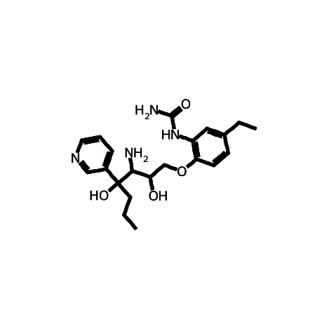 CCCC(O)(c1cccnc1)C(N)C(O)COc1ccc(CC)cc1NC(N)=O